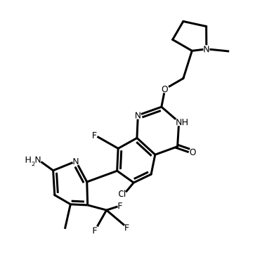 Cc1cc(N)nc(-c2c(Cl)cc3c(=O)[nH]c(OCC4CCCN4C)nc3c2F)c1C(F)(F)F